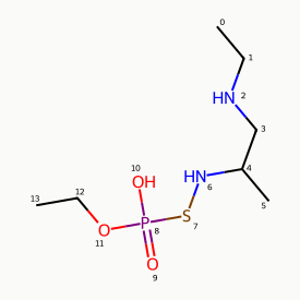 CCNCC(C)NSP(=O)(O)OCC